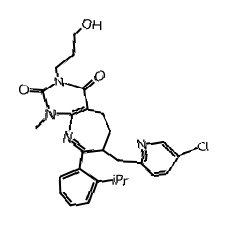 CC(C)c1ccccc1C1=Nc2c(c(=O)n(CCCO)c(=O)n2C)CCC1Cc1ccc(Cl)cn1